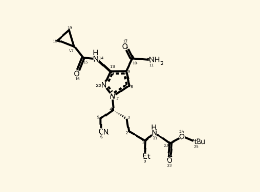 CCC(CC[C@H](CC#N)n1cc(C(N)=O)c(NC(=O)C2CC2)n1)NC(=O)OC(C)(C)C